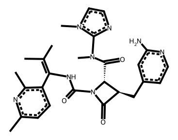 CC(C)=C(NC(=O)N1C(=O)[C@H](Cc2ccnc(N)c2)[C@H]1C(=O)N(C)c1nccn1C)c1ccc(C)nc1C